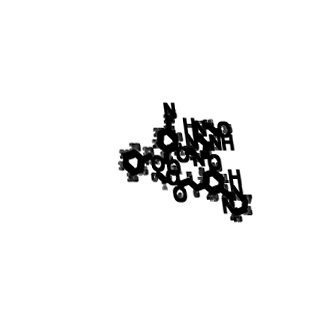 CCOC(=O)CCc1cc(OC2=C3NC(=O)CN=C3NC(Oc3cc(C#N)ccc3C(=O)OCc3ccccc3)=N2)cc(C2N=CCCN2)c1